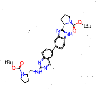 CC(C)(C)OC(=O)N1CCC[C@H]1CNc1ncc2cc(-c3ccc4[nH]c([C@@H]5CCCN5C(=O)OC(C)(C)C)nc4c3)ccc2n1